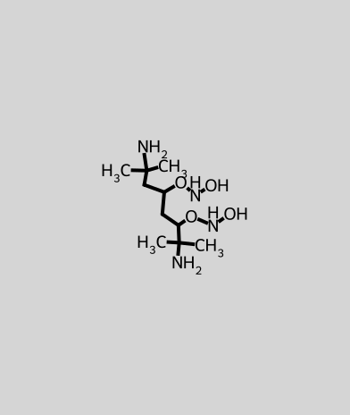 CC(C)(N)CC(CC(ONO)C(C)(C)N)ONO